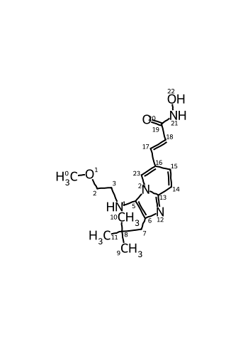 COCCNc1c(CC(C)(C)C)nc2ccc(C=CC(=O)NO)cn12